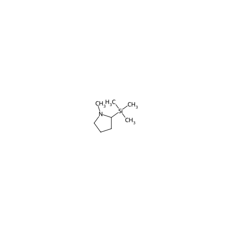 CN1CCCC1[Si](C)(C)C